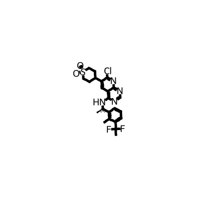 Cc1c([C@@H](C)Nc2ncnc3nc(Cl)c(C4CCS(=O)(=O)CC4)cc23)cccc1C(C)(F)F